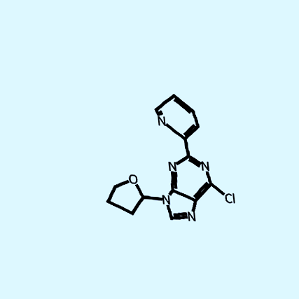 Clc1nc(-c2ccccn2)nc2c1ncn2C1CCCO1